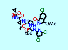 C=C[C@@H]1C[C@]1(NC(=O)[C@@H]1C[C@@H](Oc2ncc(OC)c3ccc(Cl)cc23)CN1C(=O)[C@@H](Nc1cc(Cl)cc(Cl)n1)C(C)(C)C)C(=O)NS(=O)(=O)C1CC1